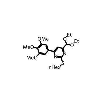 CCCCCCSc1nc(-c2cc(OC)c(OC)c(OC)c2)cc(C(OCC)OCC)n1